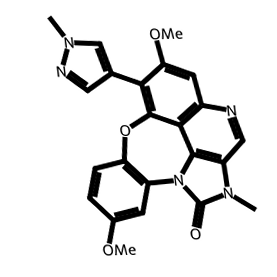 COc1ccc2oc3c(-c4cnn(C)c4)c(OC)cc4ncc5c(c43)n(c(=O)n5C)c2c1